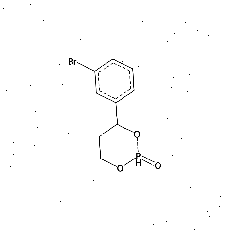 O=[PH]1OCCC(c2cccc(Br)c2)O1